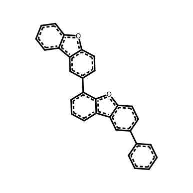 c1ccc(-c2ccc3oc4c(-c5ccc6oc7ccccc7c6c5)cccc4c3c2)cc1